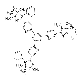 CN1C(c2ccc(-c3cc(-c4ccc(C5=NC(C)(C)C(C)(C)N5c5ccccc5)cn4)cc(-c4ccc(C5=NC(C)(C)C(C)(C)N5c5ccccc5)cn4)c3)nc2)=NC(C)(C)C1(C)C